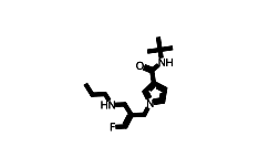 CCCNC/C(=C\F)Cn1ccc(C(=O)NC(C)(C)C)c1